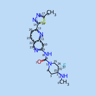 CN[C@H]1CCN(C(=O)Nc2cc3nc(-c4nnc(C)s4)ccc3cn2)C[C@@H]1F